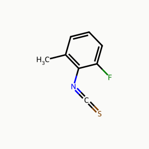 Cc1cccc(F)c1N=C=S